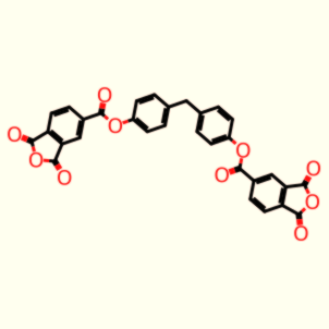 O=C(Oc1ccc(Cc2ccc(OC(=O)c3ccc4c(c3)C(=O)OC4=O)cc2)cc1)c1ccc2c(c1)C(=O)OC2=O